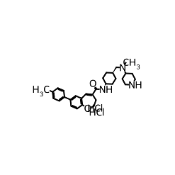 Cc1ccc(-c2ccc3c(c2)C=C(C(=O)N[C@H]2CC[C@H](CN(C)C4CCNCC4)CC2)CCO3)cc1.Cl.Cl